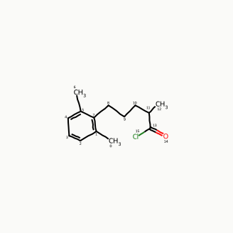 Cc1cccc(C)c1CCCC(C)C(=O)Cl